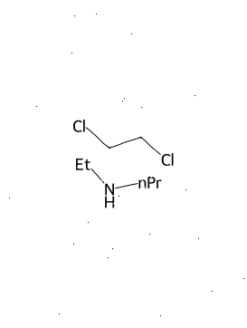 CCCNCC.ClCCCl